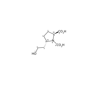 O=C(O)[C@@H]1CC[C@@H](CCO)N1C(=O)O